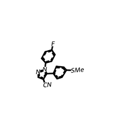 CSc1ccc(-c2c(C#N)cnn2-c2ccc(F)cc2)cc1